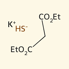 CCOC(=O)CC(=O)OCC.[K+].[SH-]